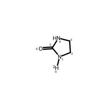 [2H]N1CCNC1=O